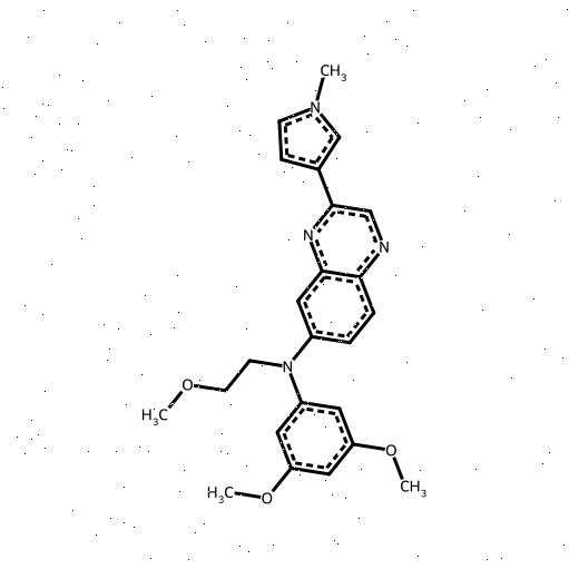 COCCN(c1cc(OC)cc(OC)c1)c1ccc2ncc(-c3ccn(C)c3)nc2c1